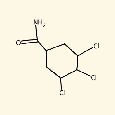 NC(=O)C1CC(Cl)C(Cl)C(Cl)C1